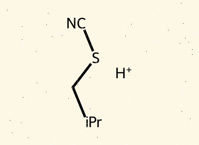 CC(C)CSC#N.[H+]